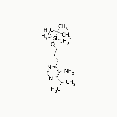 CC(C)c1ncnc(CCCO[Si](C)(C)C(C)(C)C)c1N